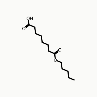 CCCCCOC(=O)CCCCCCC(=O)O